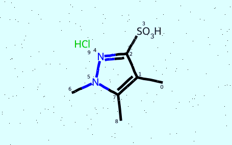 Cc1c(S(=O)(=O)O)nn(C)c1C.Cl